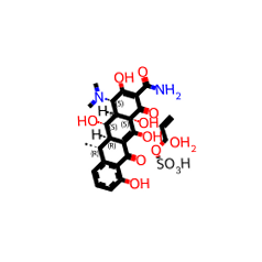 C=CCOS(=O)(=O)O.C[C@H]1c2cccc(O)c2C(=O)C2=C(O)[C@]3(O)C(=O)C(C(N)=O)=C(O)[C@@H](N(C)C)[C@@H]3[C@@H](O)[C@@H]21.O